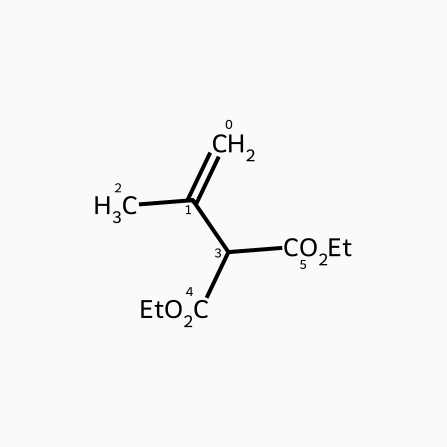 C=C(C)C(C(=O)OCC)C(=O)OCC